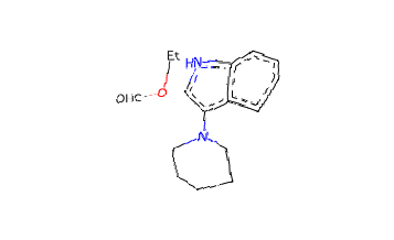 CCOC=O.c1ccc2c(N3CCCCC3)c[nH]c2c1